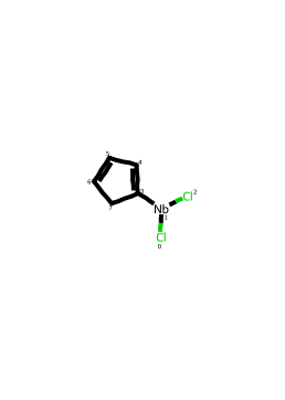 [Cl][Nb]([Cl])[C]1=CC=CC1